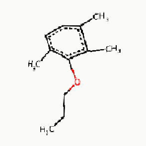 CCCOc1c(C)ccc(C)c1C